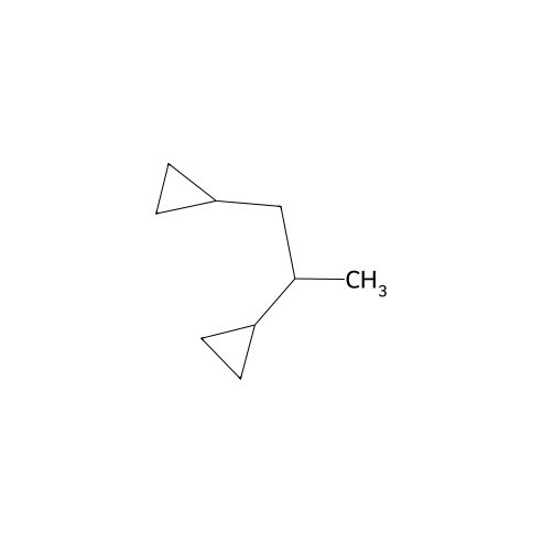 CC(CC1CC1)C1CC1